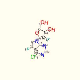 OC[C@H]1O[C@@H](n2cc(F)c3c(Cl)ncnc32)C(F)C1O